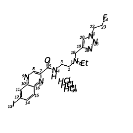 CCN(CCNC(=O)c1cnc2cc(I)ccc2n1)Cc1cn(CCF)nn1.Cl.Cl.Cl